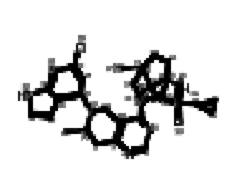 C[C@@H]1Cc2ncnc(N3C[C@H]4CC[C@@H](C3)[C@H]4NS(=O)(=O)C3CC3)c2CN1c1cc(Cl)nc2[nH]ccc12